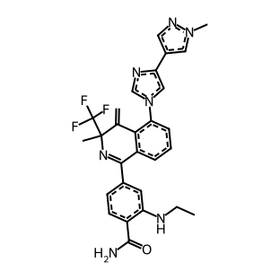 C=C1c2c(cccc2-n2cnc(-c3cnn(C)c3)c2)C(c2ccc(C(N)=O)c(NCC)c2)=NC1(C)C(F)(F)F